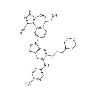 Cc1ccc(Nc2cc3ncn(-c4ccc(CCO)c(-c5c(C#N)n[nH]c5C)n4)c3cc2OCCN2CCOCC2)cn1